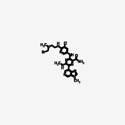 CNc1nc(Nc2cnc(NCCN(C)CBr)c(Cl)c2)c(C(N)=O)nc1-c1cncc2c1ncn2C